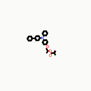 C=C(C)C(=O)OC(C)COc1ccc(N(c2ccccc2)c2ccc(-c3ccccc3)cc2)cc1